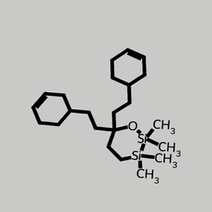 C[Si]1(C)CCC(CCC2CC=CCC2)(CCC2CC=CCC2)O[Si]1(C)C